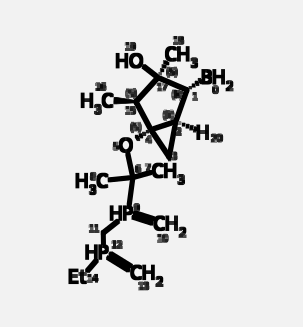 B[C@@H]1[C@H]2C[C@@]2(OC(C)(C)[PH](=C)C[PH](=C)CC)[C@@H](C)[C@@]1(C)O